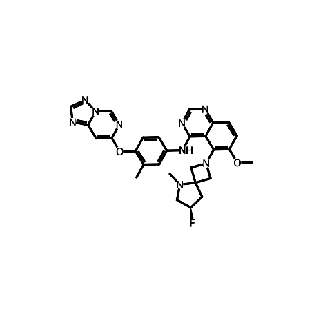 COc1ccc2ncnc(Nc3ccc(Oc4cc5ncnn5cn4)c(C)c3)c2c1N1CC2(C[C@@H](F)CN2C)C1